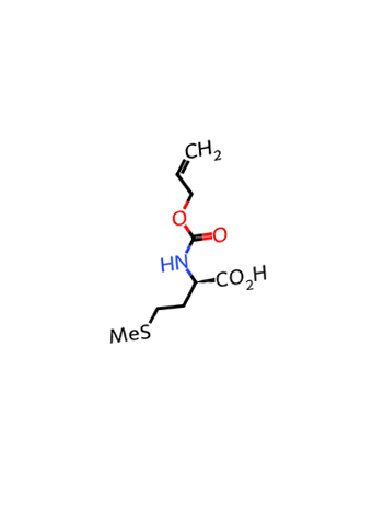 C=CCOC(=O)N[C@H](CCSC)C(=O)O